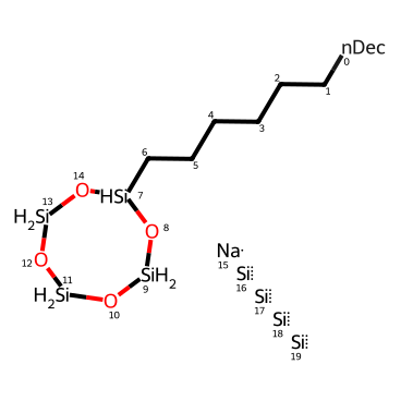 CCCCCCCCCCCCCCCC[SiH]1O[SiH2]O[SiH2]O[SiH2]O1.[Na].[Si].[Si].[Si].[Si]